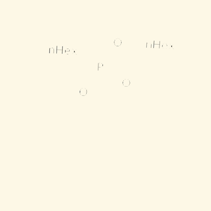 CCCCCCOP(=O)(CCCCCC)Oc1ccccc1